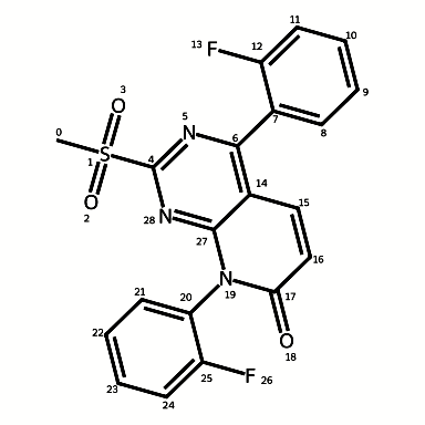 CS(=O)(=O)c1nc(-c2ccccc2F)c2ccc(=O)n(-c3ccccc3F)c2n1